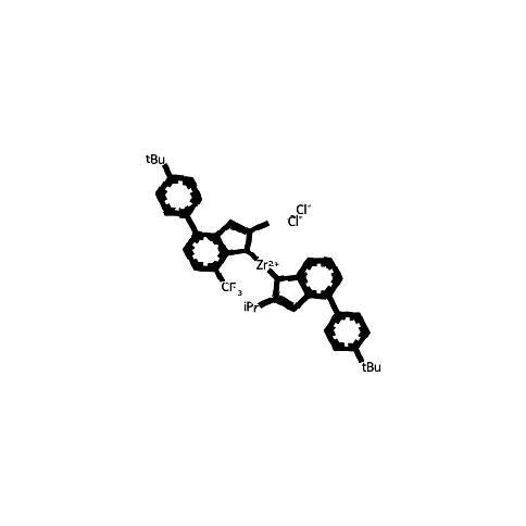 CC1=Cc2c(-c3ccc(C(C)(C)C)cc3)ccc(C(F)(F)F)c2[CH]1[Zr+2][CH]1C(C(C)C)=Cc2c(-c3ccc(C(C)(C)C)cc3)cccc21.[Cl-].[Cl-]